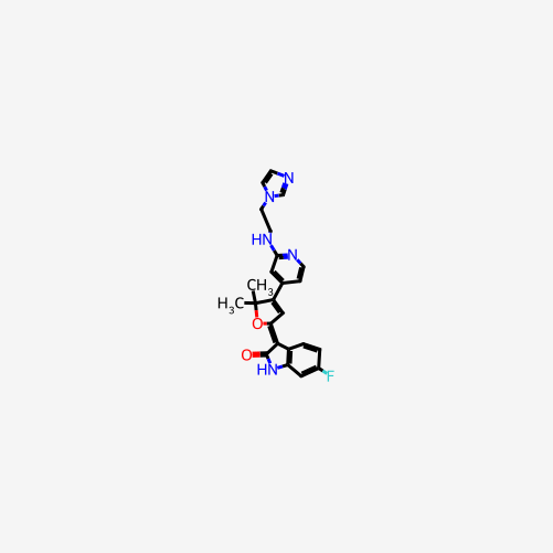 CC1(C)OC(=C2C(=O)Nc3cc(F)ccc32)C=C1c1ccnc(NCCn2ccnc2)c1